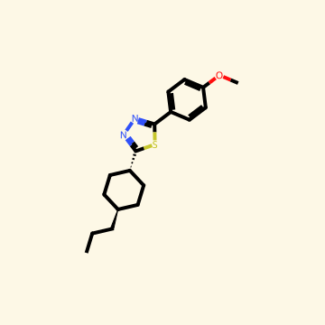 CCC[C@H]1CC[C@H](c2nnc(-c3ccc(OC)cc3)s2)CC1